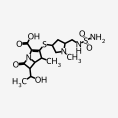 CC(O)C1C(=O)N2C(C(=O)O)=C(SC3CC(CNS(N)(=O)=O)N(C)C3)C(C)C12